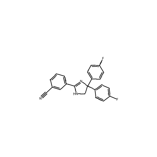 N#Cc1cccc(C2=NC(c3ccc(F)cc3)(c3ccc(F)cc3)CN2)c1